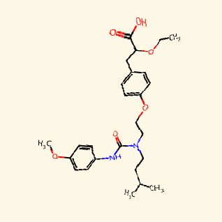 CCOC(Cc1ccc(OCCN(CCC(C)C)C(=O)Nc2ccc(OC)cc2)cc1)C(=O)O